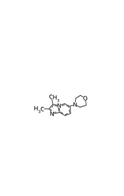 Cc1nc2ccc(N3CCOCC3)cn2c1C